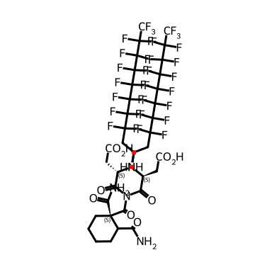 NC(=O)C1CCCC[C@]1(C(N)=O)C(=O)N(C(=O)[C@H](CC(=O)O)NCCC(F)(F)C(F)(F)C(F)(F)C(F)(F)C(F)(F)C(F)(F)C(F)(F)C(F)(F)F)C(=O)[C@H](CC(=O)O)NCCC(F)(F)C(F)(F)C(F)(F)C(F)(F)C(F)(F)C(F)(F)C(F)(F)C(F)(F)F